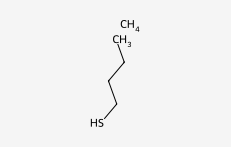 C.CCCCS